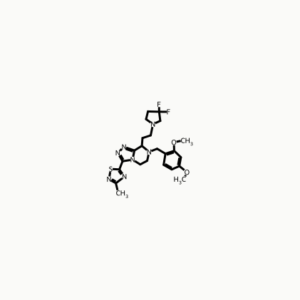 COc1ccc(CN2CCn3c(-c4nc(C)ns4)nnc3C2CCN2CCC(F)(F)C2)c(OC)c1